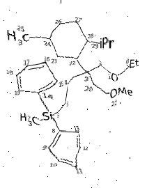 CCOCC(CC[Si](C)(c1ccccc1)c1ccccc1)(COC)C1CC(C)CCC1C(C)C